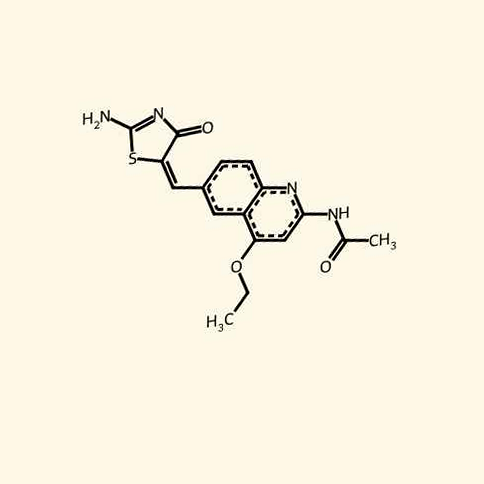 CCOc1cc(NC(C)=O)nc2ccc(/C=C3/SC(N)=NC3=O)cc12